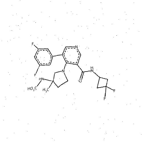 CC1(NC(=O)O)CCN(c2c(C(=O)NC3CC(F)(F)C3)cncc2-c2cc(F)cc(F)c2)C1